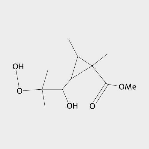 COC(=O)C1(C)C(C)C1C(O)C(C)(C)OO